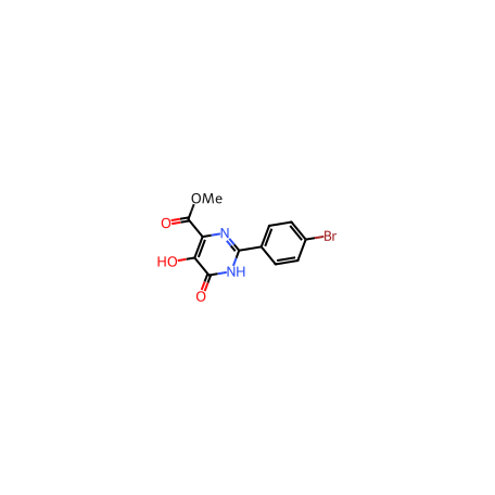 COC(=O)c1nc(-c2ccc(Br)cc2)[nH]c(=O)c1O